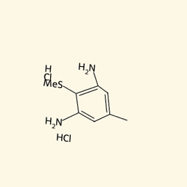 CSc1c(N)cc(C)cc1N.Cl.Cl